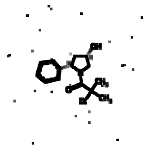 CCC(C)(C)C(=O)N1C[C@@H](O)C[C@H]1c1ccccc1